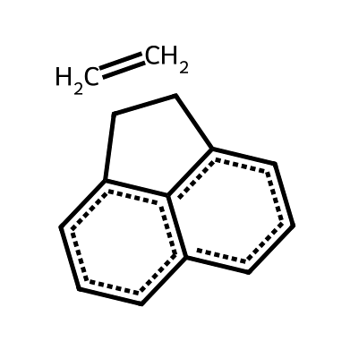 C=C.c1cc2c3c(cccc3c1)CC2